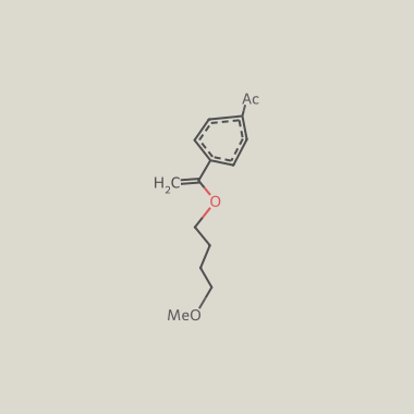 C=C(OCCCCOC)c1ccc(C(C)=O)cc1